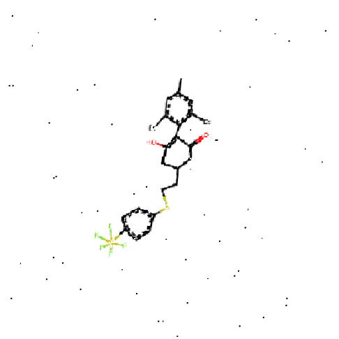 CCc1cc(C)cc(CC)c1C1=C(O)CC(CCSc2ccc(S(F)(F)(F)(F)F)cc2)CC1=O